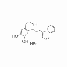 Br.Oc1cc2c(cc1O)C(CCc1cccc3ccccc13)NCC2